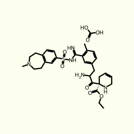 CCOC(=O)[C@]1(C(=O)C(N)Cc2ccc(C)c(C(=N)NS(=O)(=O)c3ccc4c(c3)CCN(C)CC4)c2)CC=CCN1.O=C(O)O